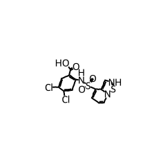 O=C(O)c1cc(Cl)c(Cl)cc1NS(=O)(=O)C1=CC=CN2SNC=C12